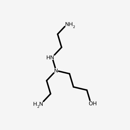 NCCNN(CCN)CCCO